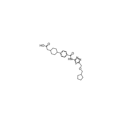 O=C(O)CC1CCC(c2ccc(C(=O)Nc3nnc(COCC4CCCC4)s3)cc2)CC1